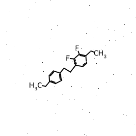 CCc1ccc(CCc2ccc(CC)c(F)c2F)cc1